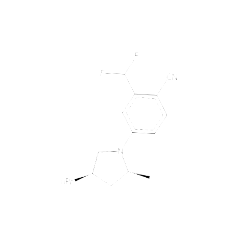 CCC[C@@H]1C[C@H](C)N(c2ccc(C#N)c(C(F)F)c2)C1